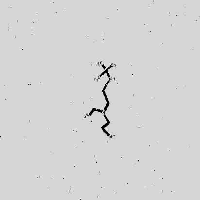 CCC(C)(C)NCCN(CCC(C)C)CC(C)C